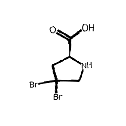 O=C(O)[C@@H]1CC(Br)(Br)CN1